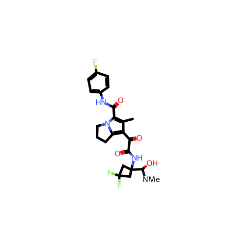 CNC(O)C1(NC(=O)C(=O)c2c(C)c(C(=O)Nc3ccc(F)cc3)n3c2CCC3)CC(F)(F)C1